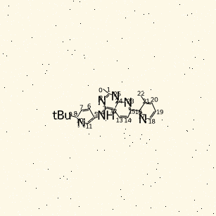 Cc1nc(Nc2ccc(C(C)(C)C)nc2)c2ccc(-c3ncccc3C)nc2n1